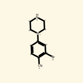 N#Cc1ccc(N2CCNCC2)cc1Br